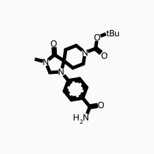 CN1CN(c2ccc(C(N)=O)cc2)C2(CCN(C(=O)OC(C)(C)C)CC2)C1=O